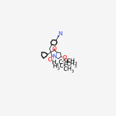 CC(C)(C)[Si](C)(C)OC1CC2C(=O)C(Cc3ccc(C#N)cc3)(c3ccccc3)C(=O)N2C1